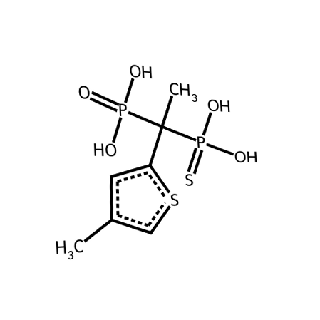 Cc1csc(C(C)(P(=O)(O)O)P(O)(O)=S)c1